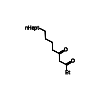 CCCCCCCCCCCC(=O)CC(=O)CC